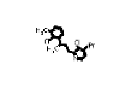 Cc1cccc(C(C)CCc2nccc(C(C)C)c2Cl)c1Cl